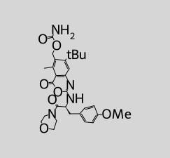 COc1ccc(C[C@H](Nc2nc3cc(C(C)(C)C)c(COC(N)=O)c(C)c3c(=O)o2)C(=O)N2CCOCC2)cc1